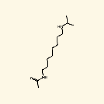 CC(=O)NCCCCCCCCNC(C)C